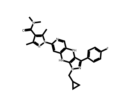 Cc1nn(-c2cc3c(cn2)Pc2c(-c4ccc(F)cc4)nn(CC4CC4)c2N3)c(C)c1C(=O)N(C)C